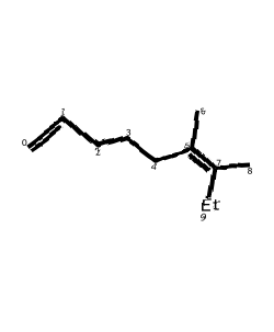 C=CCCCC(C)=C(C)CC